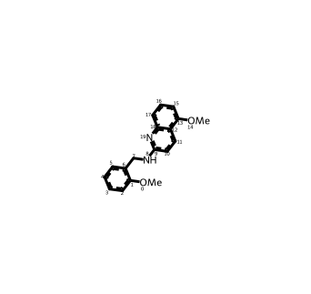 COc1ccccc1CNc1ccc2c(OC)cccc2n1